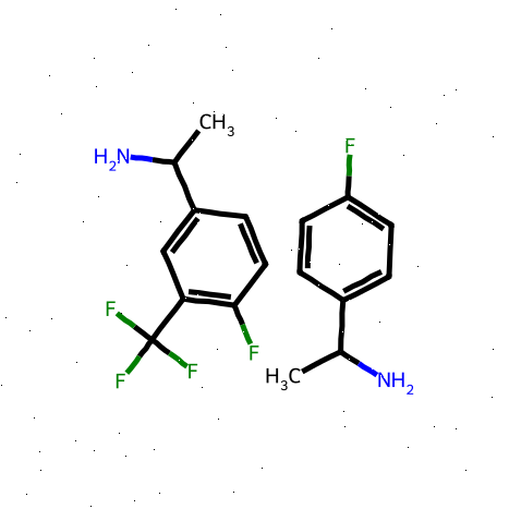 CC(N)c1ccc(F)c(C(F)(F)F)c1.CC(N)c1ccc(F)cc1